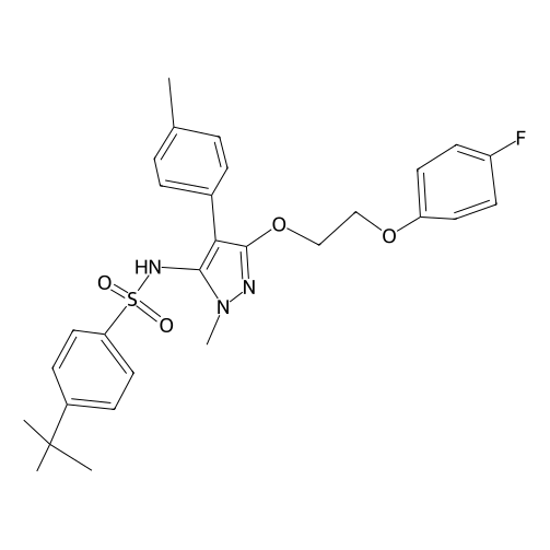 Cc1ccc(-c2c(OCCOc3ccc(F)cc3)nn(C)c2NS(=O)(=O)c2ccc(C(C)(C)C)cc2)cc1